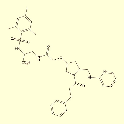 Cc1cc(C)c(S(=O)(=O)NC(CNC(=O)COC2CC(CNc3ccccn3)N(C(=O)CCc3ccccc3)C2)C(=O)O)c(C)c1